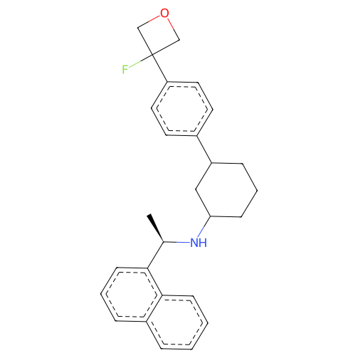 C[C@@H](NC1CCCC(c2ccc(C3(F)COC3)cc2)C1)c1cccc2ccccc12